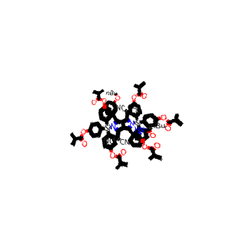 C=C(C)C(=O)Oc1ccc([Si](c2ccc(OC(=O)C(=C)C)cc2)(c2ccc(OC(=O)C(=C)C)cc2)n2c(-c3cccc(OCCCC)c3)c3c(=C(C#N)C#N)n([Si](c4ccc(OC(=O)C(=C)C)cc4)(c4ccc(OC(=O)C(=C)C)cc4)c4ccc(OC(=O)C(=C)C)cc4)c(-c4ccccc4NC(=O)CCCC)c3c2=C(C#N)C#N)cc1